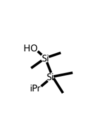 CC(C)[Si](C)(C)[Si](C)(C)O